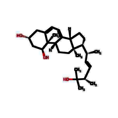 C[C@H](C=C[C@H](C)C(C)(C)O)[C@H]1CC[C@H]2C3=CC=C4C[C@@H](O)C[C@H](O)[C@]4(C)[C@H]3CC[C@]12C